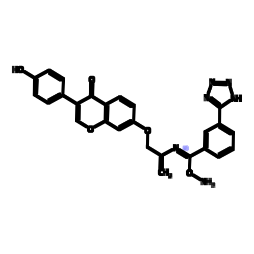 C=C(COc1ccc2c(=O)c(-c3ccc(O)cc3)coc2c1)/N=C(\ON)c1cccc(-c2nnn[nH]2)c1